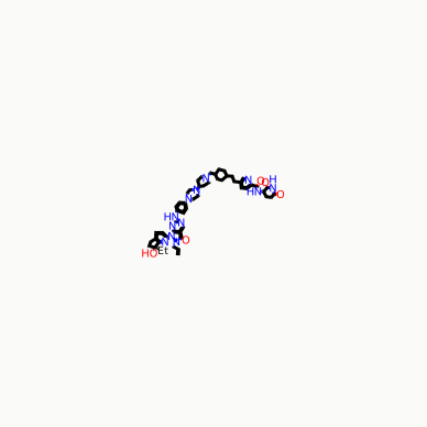 C=CCn1c(=O)c2cnc(Nc3ccc(N4CCN(C5CCN(CC6CCC(CCc7ccc(C(=O)NC8CCC(=O)NC8=O)nc7)CC6)CC5)CC4)cc3)nc2n1-c1ccc2c(n1)[C@@](O)(CC)CC2